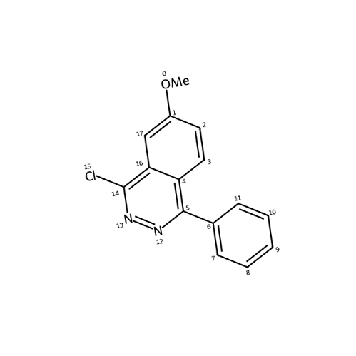 COc1ccc2c(-c3ccccc3)nnc(Cl)c2c1